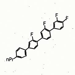 CCCc1ccc(-c2ccc(-c3ccc(-c4ccc(F)c(F)c4)c(F)c3)c(F)c2)cc1